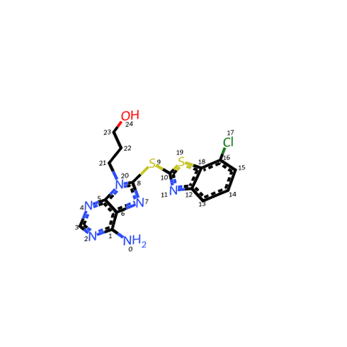 Nc1ncnc2c1nc(Sc1nc3cccc(Cl)c3s1)n2CCCO